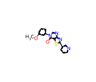 COc1cccc(-n2cnc3nc(-c4cccnc4)sc3c2=O)c1